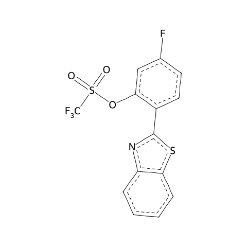 O=S(=O)(Oc1cc(F)ccc1-c1nc2ccccc2s1)C(F)(F)F